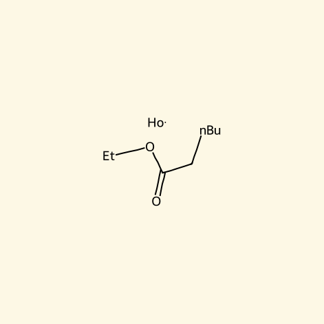 CCCCCC(=O)OCC.[Ho]